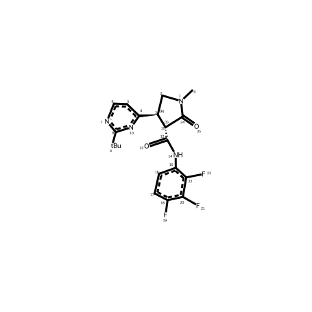 CN1C[C@H](c2ccnc(C(C)(C)C)n2)[C@@H](C(=O)Nc2ccc(F)c(F)c2F)C1=O